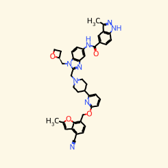 Cc1cc2c(C#N)ccc(COc3cccc(C4CCN(Cc5nc6cc(NC(=O)c7ccc8[nH]nc(C)c8c7)ccc6n5C[C@@H]5CCO5)CC4)n3)c2o1